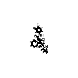 CC(NS(=O)(=O)c1c(Cl)c(C(=O)Nc2ccc(F)c(F)c2)n2c1CCCCC2)C(F)(F)F